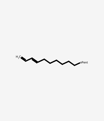 C=C/C=C/CCCCCCCCCCC